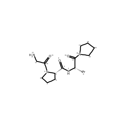 CC(C)[C@H](NC(=O)[C@@H]1CCCN1C(=O)CN)C(=O)N1CCCC1